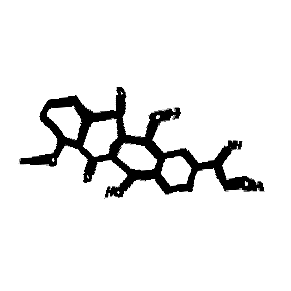 COC1=CC=CC2C(=O)C3C(O)=C4CC(C(=N)CO)CCC4=C(O)C3C(=O)C12